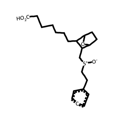 O=C(O)CCCCCCC1C2CCC(O2)C1C[S+]([O-])CCc1ccccc1